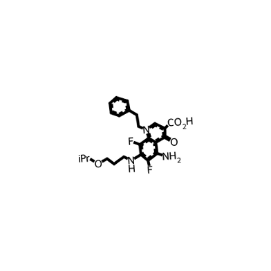 CC(C)OCCCNc1c(F)c(N)c2c(=O)c(C(=O)O)cn(CCc3ccccc3)c2c1F